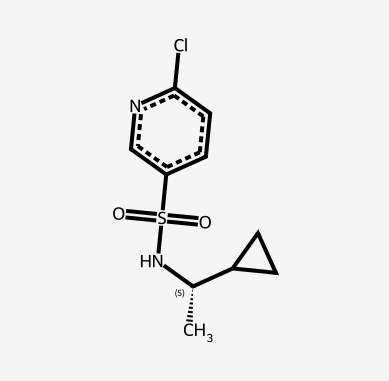 C[C@H](NS(=O)(=O)c1ccc(Cl)nc1)C1CC1